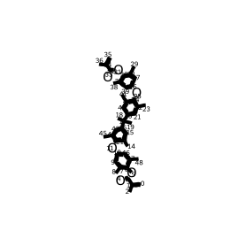 C=C(C)C(=O)Oc1c(C)cc(Oc2c(C)cc(C(C)(C)c3cc(C)c(Oc4cc(C)c(OC(=O)C(=C)C)c(C)c4)c(C)c3)cc2C)cc1C